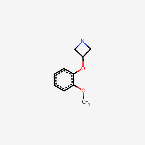 FC(F)(F)Oc1ccccc1OC1C[N]C1